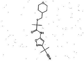 CC(C)(SCC1CCOCC1)C(=O)Nc1cc(C(C)(C)C#N)no1